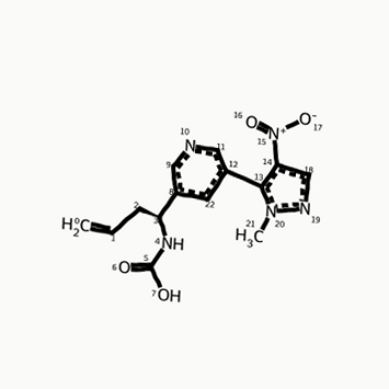 C=CC[C@H](NC(=O)O)c1cncc(-c2c([N+](=O)[O-])cnn2C)c1